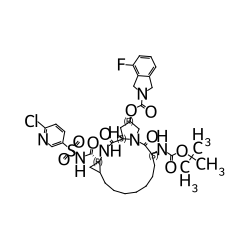 CC(C)(C)OC(=O)N[C@H]1CCCCCCCC2C[C@@]2(C(=O)NS(=O)(=O)c2ccc(Cl)nc2)NC(=O)[C@@H]2C[C@@H](OC(=O)N3Cc4cccc(F)c4C3)CN2C1=O